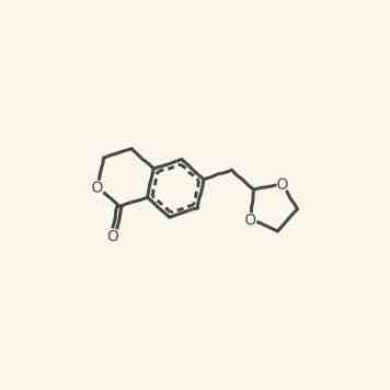 O=C1OCCc2cc(CC3OCCO3)ccc21